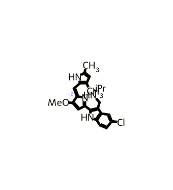 COC1=CC(c2[nH]c3ccc(Cl)cc3c2CNC(C)C)=N/C1=C\c1[nH]c(C)cc1C